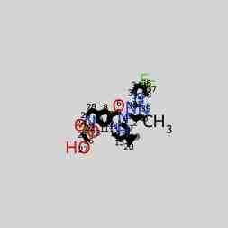 Cc1cc(NC(=O)c2cc3c(cc2N2CCC4(CC2)CC4)N(S(=O)(=O)CCO)CC3)nc(N2CCC(F)(F)C2)n1